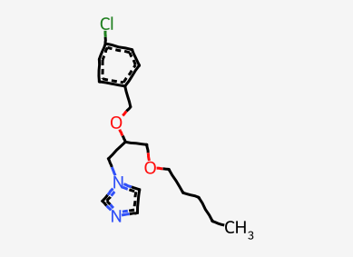 CCCCCOCC(Cn1ccnc1)OCc1ccc(Cl)cc1